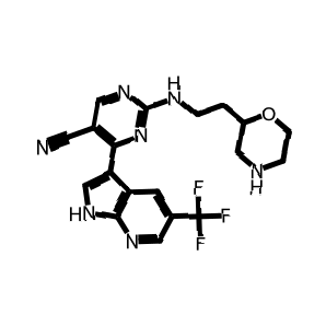 N#Cc1cnc(NCCC2CNCCO2)nc1-c1c[nH]c2ncc(C(F)(F)F)cc12